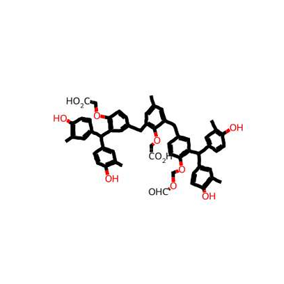 Cc1cc(Cc2ccc(OCOC=O)c(C(c3ccc(O)c(C)c3)c3ccc(O)c(C)c3)c2)c(OCC(=O)O)c(Cc2ccc(OCC(=O)O)c(C(c3ccc(O)c(C)c3)c3ccc(O)c(C)c3)c2)c1